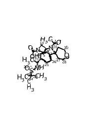 CC(=O)N(C1CN(C(=O)O)C1)C1(c2ccc([C@H](C)N[S+]([O-])C(C)(C)C)cc2)CCOCC1